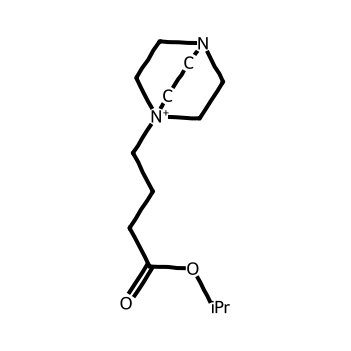 CC(C)OC(=O)CCC[N+]12CCN(CC1)CC2